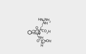 N=C(N)NCCC[C@H](NC(=O)[C@H](Cc1ccccc1)NC(=O)CNC(=O)[C@@H]1C[C@@H](O)CN1)C(=O)O